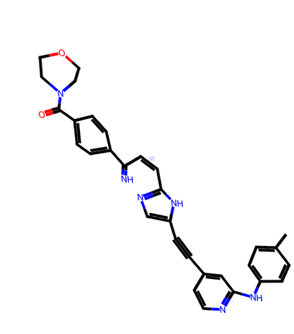 Cc1ccc(Nc2cc(C#Cc3cnc(/C=C\C(=N)c4ccc(C(=O)N5CCOCC5)cc4)[nH]3)ccn2)cc1